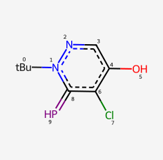 CC(C)(C)n1ncc(O)c(Cl)c1=P